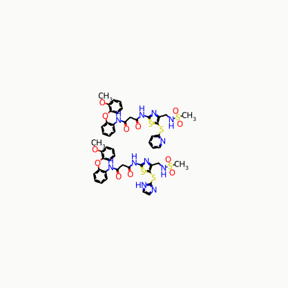 COc1ccccc1Oc1ccccc1NC(=O)CC(=O)Nc1nc(CNS(C)(=O)=O)c(Sc2ccccn2)s1.COc1ccccc1Oc1ccccc1NC(=O)CC(=O)Nc1nc(CNS(C)(=O)=O)c(Sc2ncc[nH]2)s1